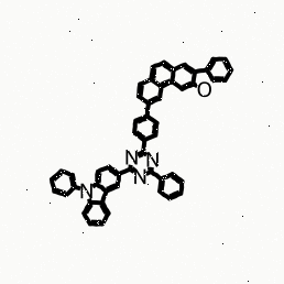 c1ccc(-c2nc(-c3ccc(-c4ccc5ccc6cc7c(cc6c5c4)oc4ccccc47)cc3)nc(-c3ccc4c(c3)c3ccccc3n4-c3ccccc3)n2)cc1